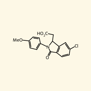 COc1ccc(N2C(=O)c3ccc(Cl)cc3C2CC(=O)O)cc1